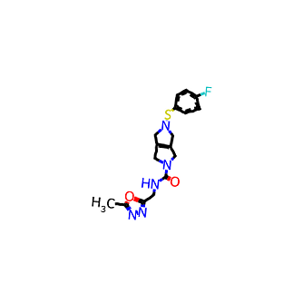 Cc1nnc(CNC(=O)N2CC3=C(CN(Sc4ccc(F)cc4)C3)C2)o1